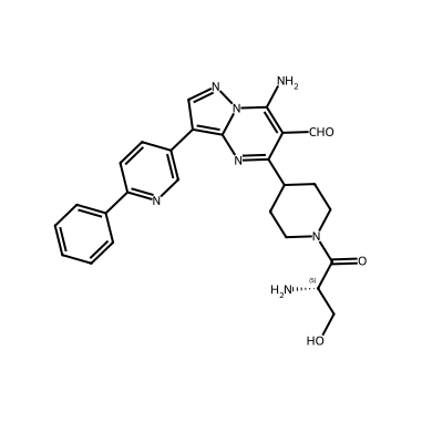 Nc1c(C=O)c(C2CCN(C(=O)[C@@H](N)CO)CC2)nc2c(-c3ccc(-c4ccccc4)nc3)cnn12